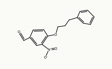 O=Cc1ccc(OCCCc2ccccc2)c([N+](=O)[O-])c1